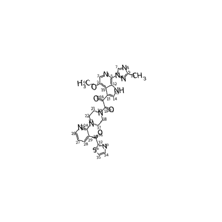 COc1cnc(-n2cnc(C)n2)c2[nH]cc(C(=O)C(=O)N3CCN(c4ncccc4C(=O)c4nccs4)CC3)c12